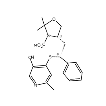 Cc1cc(S[C@H](C[C@H]2COC(C)(C)N2C(=O)O)c2ccccc2)c(C#N)cn1